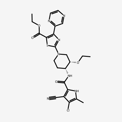 CCOC(=O)c1sc(N2CC[C@@H](NC(=O)c3[nH]c(C)c(Cl)c3C#N)[C@@H](OCC)C2)nc1-c1cnccn1